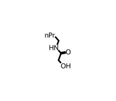 CCCCNC(=O)CO